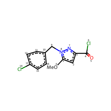 COc1cc(C(=O)Cl)nn1Cc1ccc(Cl)cc1